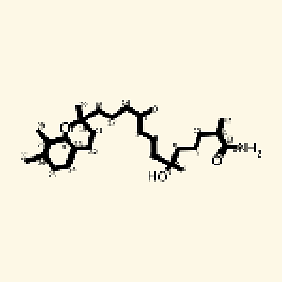 CC(CCCC(C)(O)CCCC(C)C(N)=O)CCCC1(C)CCC2=CCC(C)C(C)C2O1